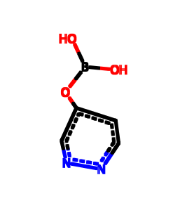 OB(O)Oc1ccnnc1